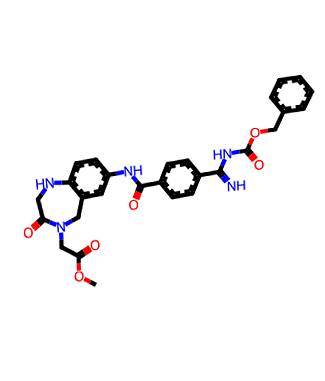 COC(=O)CN1Cc2cc(NC(=O)c3ccc(C(=N)NC(=O)OCc4ccccc4)cc3)ccc2NCC1=O